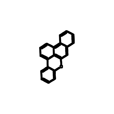 c1ccc2c(c1)Oc1cc3ccccc3c3cccc-2c13